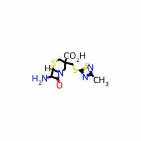 Cc1nsc(SCC2(C(=O)O)CS[C@@H]3C(N)C(=O)N3C2)n1